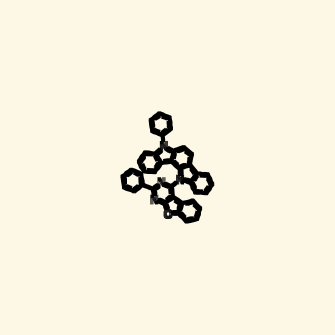 c1ccc(-c2nc(-n3c4ccccc4c4ccc5c(c6ccccc6n5-c5ccccc5)c43)c3c(n2)oc2ccccc23)cc1